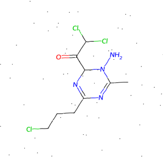 CC1=NC(CCCCl)=NC(C(=O)C(Cl)Cl)N1N